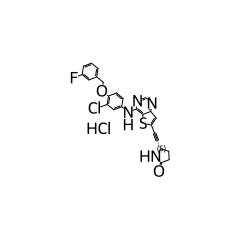 Cl.O=C1CC[C@@H](C#Cc2cc3ncnc(Nc4ccc(OCc5cccc(F)c5)c(Cl)c4)c3s2)N1